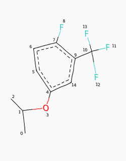 CC(C)Oc1ccc(F)c(C(F)(F)F)c1